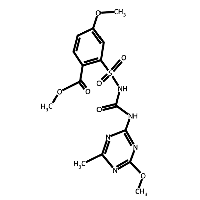 COC(=O)c1ccc(OC)cc1S(=O)(=O)NC(=O)Nc1nc(C)nc(OC)n1